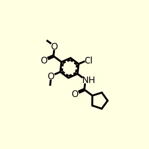 COC(=O)c1cc(Cl)c(NC(=O)C2CCCC2)cc1OC